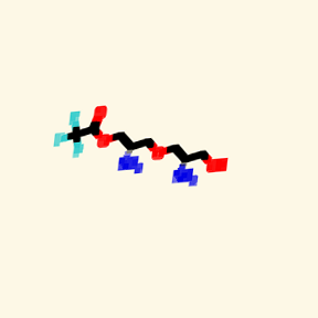 N[C@@H](CO)COC[C@H](N)COC(=O)C(F)(F)F